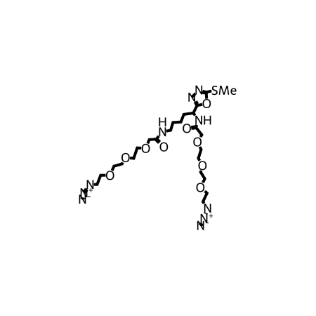 CSc1nnc(C(CCCCNC(=O)COCCOCCOCCN=[N+]=[N-])NC(=O)COCCOCCOCCN=[N+]=[N-])o1